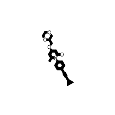 Cc1cc(OCC2COCCO2)cc(=O)n1-c1ccc(C#CC2CC2)cc1